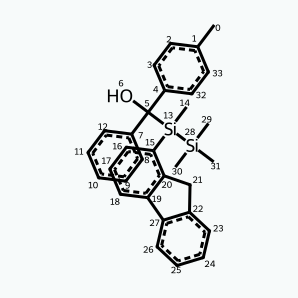 Cc1ccc(C(O)(c2ccccc2)[Si](C)(c2cccc3c2Cc2ccccc2-3)[Si](C)(C)C)cc1